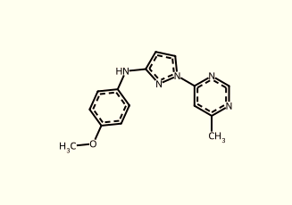 COc1ccc(Nc2ccn(-c3cc(C)ncn3)n2)cc1